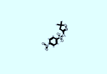 CC1(C)CC(OS(=O)(=O)c2ccc([N+](=O)[O-])cc2)=NO1